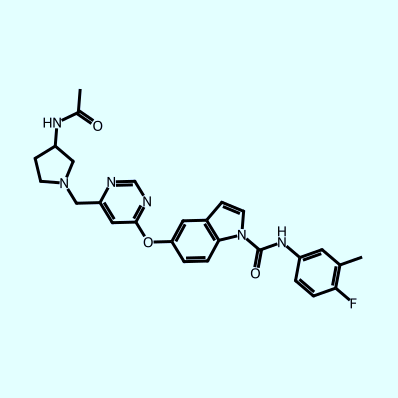 CC(=O)NC1CCN(Cc2cc(Oc3ccc4c(ccn4C(=O)Nc4ccc(F)c(C)c4)c3)ncn2)C1